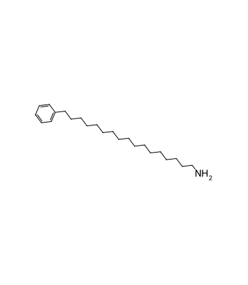 NCCCCCCCCCCCCCCCCCc1ccccc1